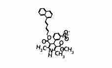 COC(=O)C1=C(C)NC(C)=C(C(=O)OC/C=C/C=C/c2cccc3ccccc23)C1c1cccc([N+](=O)[O-])c1